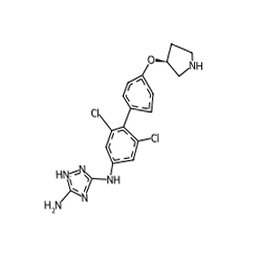 Nc1nc(Nc2cc(Cl)c(-c3ccc(O[C@H]4CCNC4)cc3)c(Cl)c2)n[nH]1